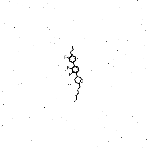 CCCCCCC1CCC(c2ccc(-c3ccc(CCC)c(F)c3)c(F)c2F)CO1